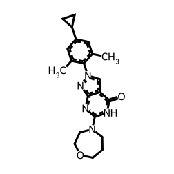 Cc1cc(C2CC2)cc(C)c1-n1cc2c(=O)[nH]c(N3CCCOCC3)nc2n1